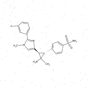 Cn1cc([C@H]2[C@H](c3ccc(S(N)(=O)=O)cc3)C2(C)N)nc1-c1cccc(F)c1